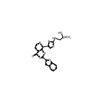 C[C@H](O)CNc1nc(-c2nccc3c(=O)[nH]c(-c4cc5ccccc5o4)nc23)cs1